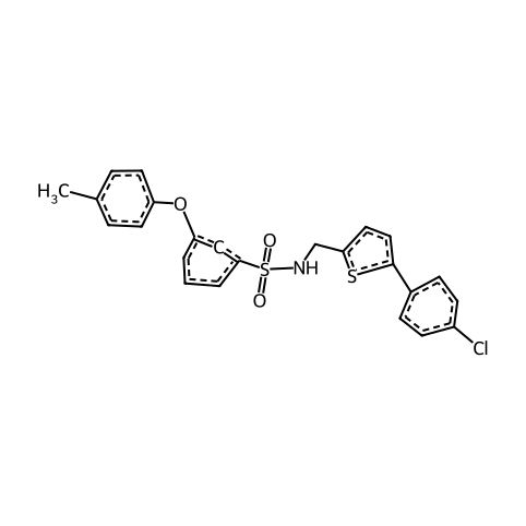 Cc1ccc(Oc2cccc(S(=O)(=O)NCc3ccc(-c4ccc(Cl)cc4)s3)c2)cc1